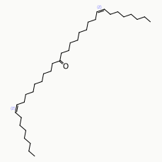 CCCCCCC/C=C\CCCCCCCCC(=O)CCCCCCCC/C=C\CCCCCCC